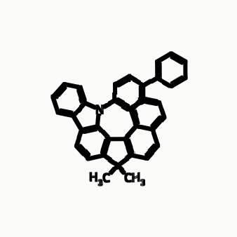 CC1(C)c2ccc3ccccc3c2-c2c1ccc1c3ccccc3n(-c3ccc(-c4ccccc4)cc3)c21